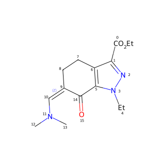 CCOC(=O)c1nn(CC)c2c1CC/C(=C/N(C)C)C2=O